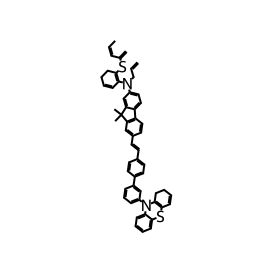 C=CCN(C1=C(SC(=C)/C=C\C)CCC=C1)c1ccc2c(c1)C(C)(C)c1cc(/C=C/c3ccc(-c4cccc(N5C6=C(C=CCC6)Sc6ccccc65)c4)cc3)ccc1-2